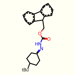 CC(C)(C)C1CCC(=NNC(=O)OCC2c3ccccc3-c3ccccc32)CC1